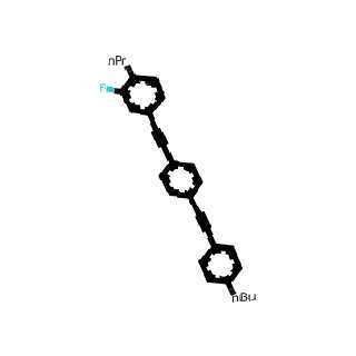 CCCCc1ccc(C#Cc2ccc(C#Cc3ccc(CCC)c(F)c3)cc2)cc1